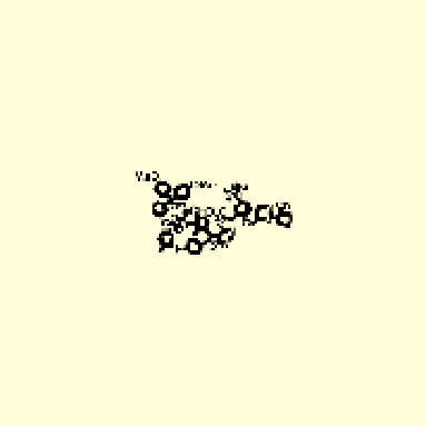 COc1ccc(C(OC[C@H](COS(=O)(=O)c2ccc(C)cc2)Oc2ccc(-c3c(-c4ccc(F)cc4)sc4ncnc(OC(Cc5cc(O[Si](C)(C)C(C)(C)C)ccc5OCc5ccnc(-c6ccccc6C#N)n5)C(=O)O)c34)c(C)c2Cl)(c2ccccc2)c2ccc(OC)cc2)cc1